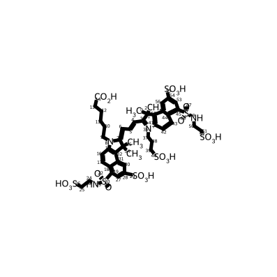 CC1(C)C(/C=C/C=C2/N(CCCCCC(=O)O)c3ccc4c(S(=O)(=O)NCCS(=O)(=O)O)cc(S(=O)(=O)O)cc4c3C2(C)C)=[N+](CCCS(=O)(=O)O)c2ccc3c(S(=O)(=O)NCCS(=O)(=O)O)cc(S(=O)(=O)O)cc3c21